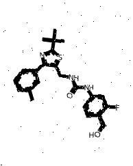 Cc1cccc(-c2nc(C(C)(C)C)sc2CNC(=O)Nc2ccc(CO)c(F)c2)c1